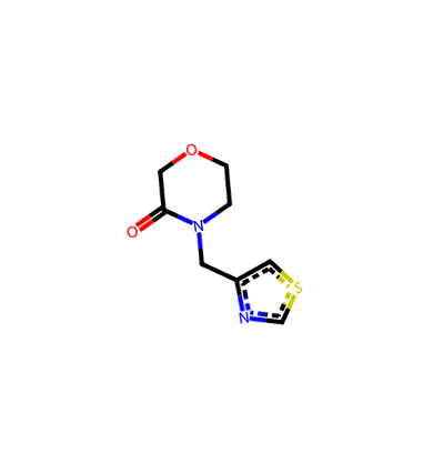 O=C1COCCN1Cc1cscn1